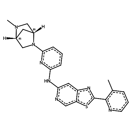 Cc1cccnc1-c1nc2cc(Nc3cccc(N4C[C@H]5C[C@@H]4CN5C)n3)ncc2s1